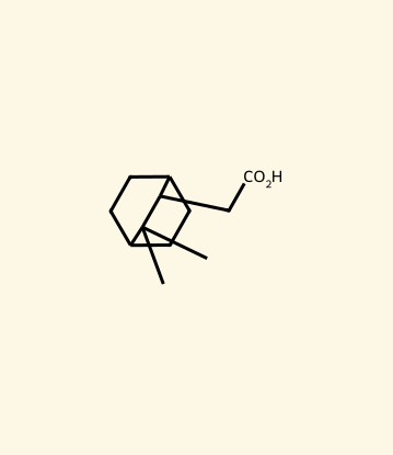 CC1(C)C2CCC(CC2)C1CC(=O)O